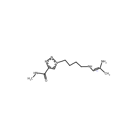 CNC(=O)c1cn(CCCCN/C=C(/C)N)nn1